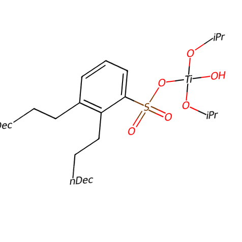 CCCCCCCCCCCCc1cccc(S(=O)(=O)[O][Ti]([OH])([O]C(C)C)[O]C(C)C)c1CCCCCCCCCCCC